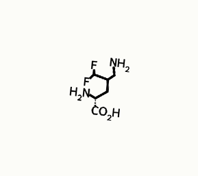 NCC(C[C@@H](N)C(=O)O)C(F)F